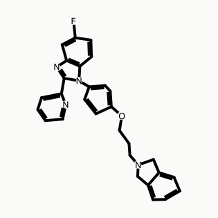 Fc1ccc2c(c1)nc(-c1ccccn1)n2-c1ccc(OCCCN2Cc3ccccc3C2)cc1